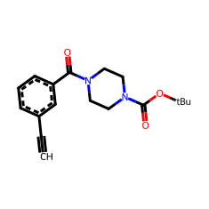 C#Cc1cccc(C(=O)N2CCN(C(=O)OC(C)(C)C)CC2)c1